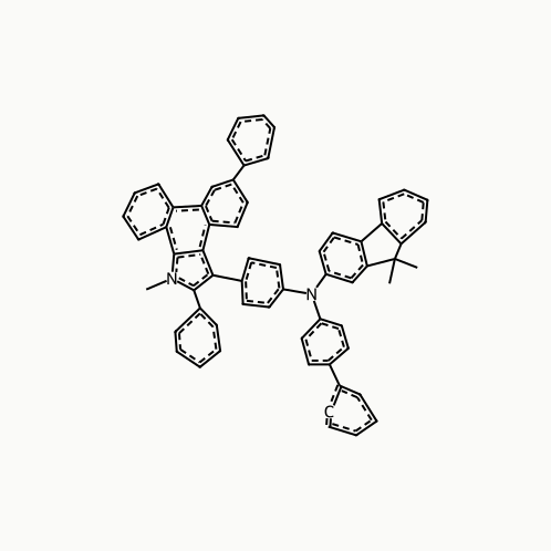 Cn1c(-c2ccccc2)c(-c2ccc(N(c3ccc(-c4ccccc4)cc3)c3ccc4c(c3)C(C)(C)c3ccccc3-4)cc2)c2c3ccc(-c4ccccc4)cc3c3ccccc3c21